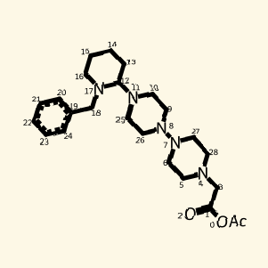 CC(=O)OC(=O)CN1CCN(N2CCN(C3CCCCN3Cc3ccccc3)CC2)CC1